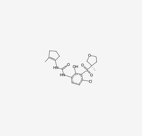 CC1=C(NC(=O)Nc2ccc(Cl)c(S(=O)(=O)[C@]3(C)CCOC3)c2O)CCC1